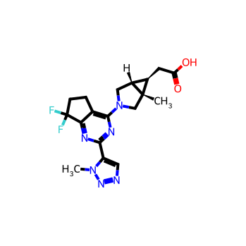 Cn1nncc1-c1nc(N2C[C@@H]3[C@@H](CC(=O)O)[C@]3(C)C2)c2c(n1)C(F)(F)CC2